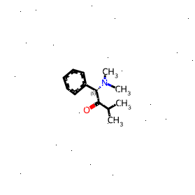 CC(C)C(=O)[C@H](c1ccccc1)N(C)C